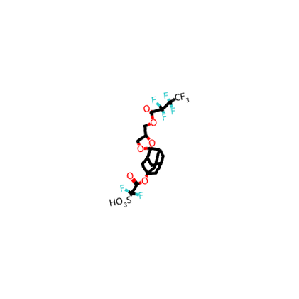 O=C(OCC1COC2(O1)C1CC3CC2CC(OC(=O)C(F)(F)S(=O)(=O)O)(C3)C1)C(F)(F)C(F)(F)C(F)(F)F